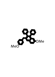 COc1ccc(Cc2cc3ccc(OC)cc3c(-c3ccccc3)c2-c2ccccc2)cc1